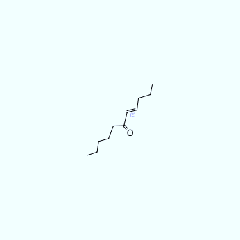 CCC/C=C/C(=O)CCCCC